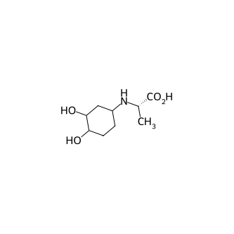 C[C@H](NC1CCC(O)C(O)C1)C(=O)O